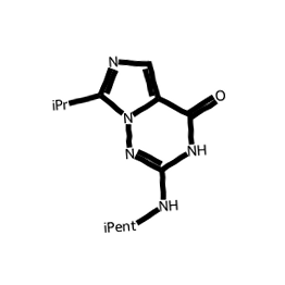 CCCC(C)Nc1nn2c(C(C)C)ncc2c(=O)[nH]1